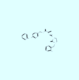 O=C(NCc1ccc(Oc2ccccc2)cc1)c1coc(N2CCN(Cc3ccccc3Cl)C2=O)n1